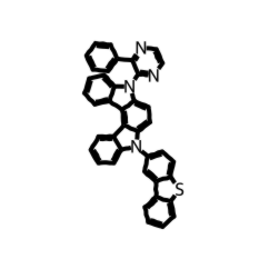 c1ccc(-c2nccnc2-n2c3ccccc3c3c4c5ccccc5n(-c5ccc6sc7ccccc7c6c5)c4ccc32)cc1